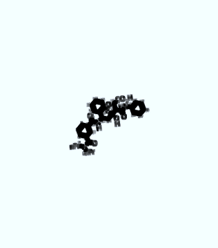 CCCN(CCC)C(=O)c1cccc(C(=O)NC(CC(O)(P=O)C(CC(=O)O)C(=O)Nc2ccccc2)c2ccccc2)c1